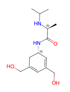 CC(C)N[C@@H](C)C(=O)N[C@@H]1C=C(CO)C=C(CO)C1